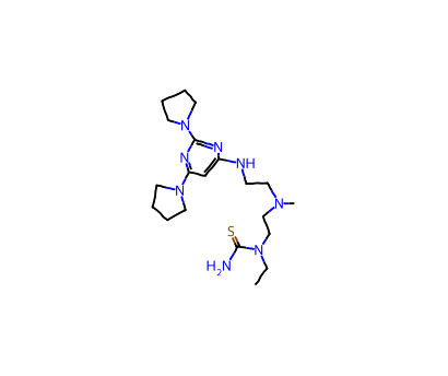 CCN(CCN(C)CCNc1cc(N2CCCC2)nc(N2CCCC2)n1)C(N)=S